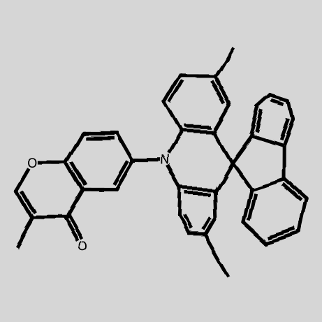 Cc1ccc2c(c1)C1(c3ccccc3-c3ccccc31)c1cc(C)ccc1N2c1ccc2occ(C)c(=O)c2c1